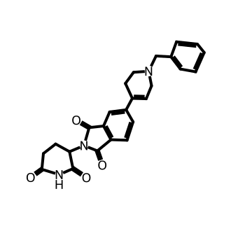 O=C1CCC(N2C(=O)c3ccc(C4=CCN(Cc5ccccc5)CC4)cc3C2=O)C(=O)N1